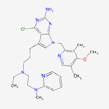 CCN(CCCc1cn(Cc2ncc(C)c(OC)c2C)c2nc(N)nc(Cl)c12)CCN(C)c1ccccn1